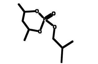 CC(C)COP1(=O)OC(C)CC(C)O1